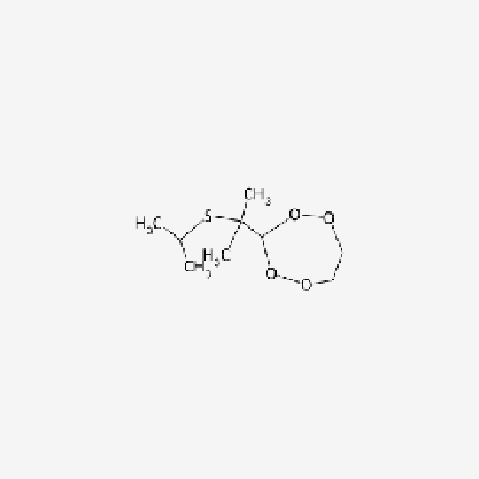 CC(C)SC(C)(C)C1OOCCOO1